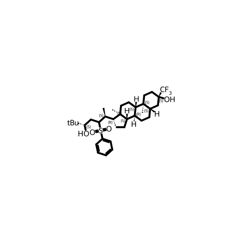 C[C@H](C(C[C@H](O)C(C)(C)C)S(=O)(=O)c1ccccc1)[C@H]1CC[C@H]2[C@@H]3CC[C@H]4C[C@](O)(C(F)(F)F)CC[C@]4(C)[C@H]3CC[C@]12C